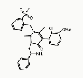 COc1cccc(-c2c(C)n(Cc3ccccc3S(C)(=O)=O)c(C)c(CC(N)c3ccccc3)c2=O)c1Cl